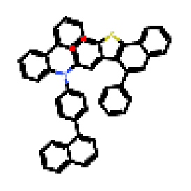 c1ccc(-c2ccccc2N(c2ccc(-c3cccc4ccccc34)cc2)c2ccc3sc4c5ccccc5cc(-c5ccccc5)c4c3c2)cc1